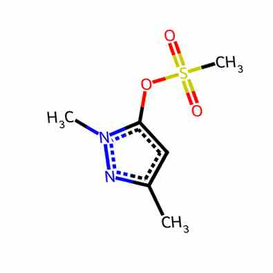 Cc1cc(OS(C)(=O)=O)n(C)n1